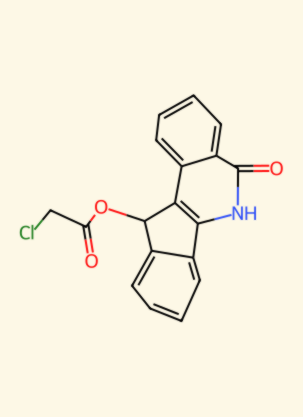 O=C(CCl)OC1c2ccccc2-c2[nH]c(=O)c3ccccc3c21